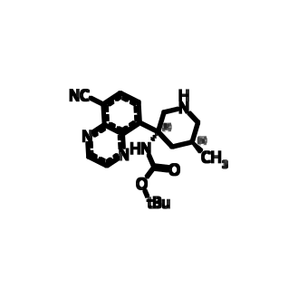 C[C@@H]1CNC[C@](NC(=O)OC(C)(C)C)(c2ccc(C#N)c3nccnc23)C1